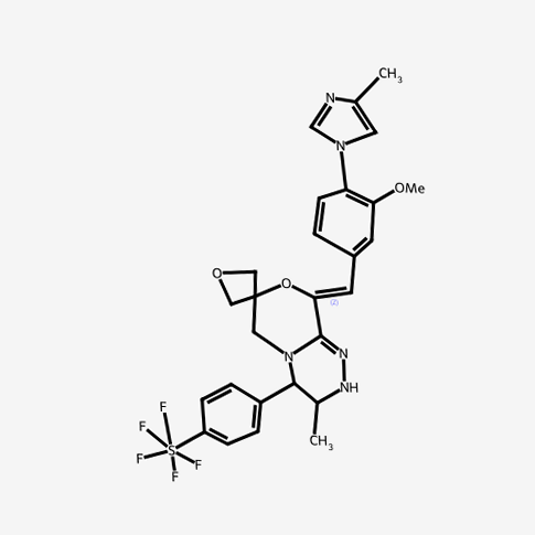 COc1cc(/C=C2\OC3(COC3)CN3C2=NNC(C)C3c2ccc(S(F)(F)(F)(F)F)cc2)ccc1-n1cnc(C)c1